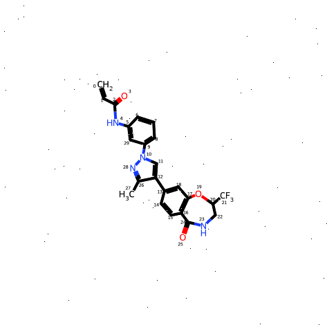 C=CC(=O)Nc1cccc(-n2cc(-c3ccc4c(c3)OC(C(F)(F)F)CNC4=O)c(C)n2)c1